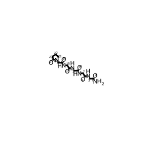 NC(=O)CNC(=O)CNC(=O)CNC(=O)CNC(=O)CN1CCCC1=O